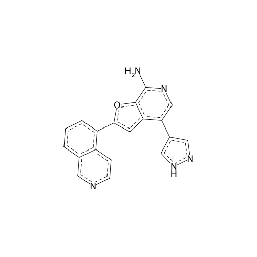 Nc1ncc(-c2cn[nH]c2)c2cc(-c3cccc4cnccc34)oc12